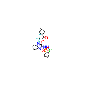 Cc1ccc(C(=O)C(Oc2nc3ccccc3nc2NS(=O)(=O)c2ccccc2Cl)C(F)(F)F)cc1